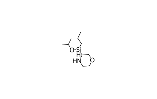 CCC[SiH](OC(C)C)C1COCCN1